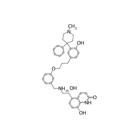 CN1CCC(c2ccccc2)(c2cc(CCCOc3cccc(CNC[C@H](O)c4ccc(O)c5[nH]c(=O)ccc45)c3)ccc2O)CC1